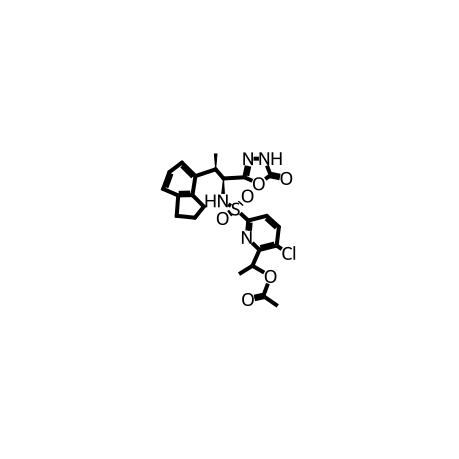 CC(=O)OC(C)c1nc(S(=O)(=O)N[C@H](c2n[nH]c(=O)o2)[C@H](C)c2cccc3c2CCC3)ccc1Cl